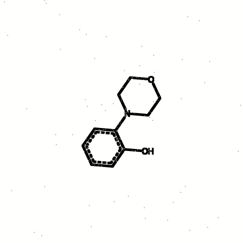 Oc1ccccc1N1CCOCC1